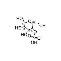 O=S(=O)(O)O[C@@H]1[C@H](O)[C@@H](O)[C@@H](O)O[C@@H]1CO